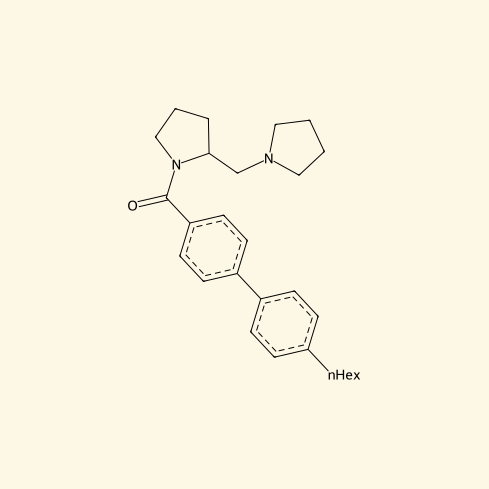 CCCCCCc1ccc(-c2ccc(C(=O)N3CCCC3CN3CCCC3)cc2)cc1